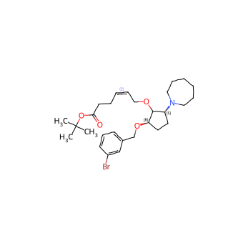 CC(C)(C)OC(=O)CC/C=C\COC1[C@H](OCc2cccc(Br)c2)CC[C@@H]1N1CCCCCC1